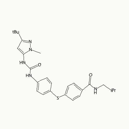 CC(C)CNC(=O)c1ccc(Sc2ccc(NC(=O)Nc3cc(C(C)(C)C)nn3C)cc2)cc1